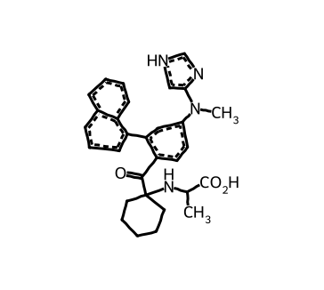 CC(NC1(C(=O)c2ccc(N(C)c3c[nH]cn3)cc2-c2cccc3ccccc23)CCCCC1)C(=O)O